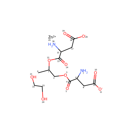 CC(COC(=O)C(N)CC(=O)[O-])OC(=O)C(N)CC(=O)[O-].OCCO.[Zn+2]